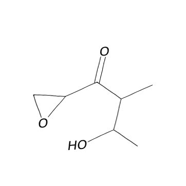 CC(O)C(C)C(=O)C1CO1